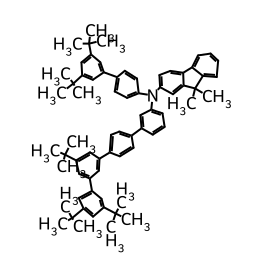 CC(C)(C)c1cc(-c2ccc(-c3cccc(N(c4ccc(-c5cc(C(C)(C)C)cc(C(C)(C)C)c5)cc4)c4ccc5c(c4)C(C)(C)c4ccccc4-5)c3)cc2)cc(-c2cc(C(C)(C)C)cc(C(C)(C)C)c2)c1